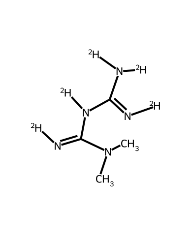 [2H]N=C(N([2H])[2H])N([2H])C(=N[2H])N(C)C